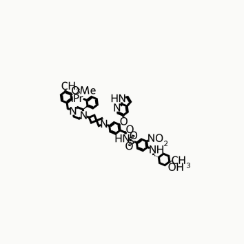 COc1cc(CN2CCN(C3CC4(C3)CN(c3ccc(C(=O)NS(=O)(=O)c5ccc(NC[C@H]6CC[C@](C)(O)CC6)c([N+](=O)[O-])c5)c(Oc5cnc6[nH]ccc6c5)c3)C4)[C@H](c3ccccc3C(C)C)C2)ccc1C